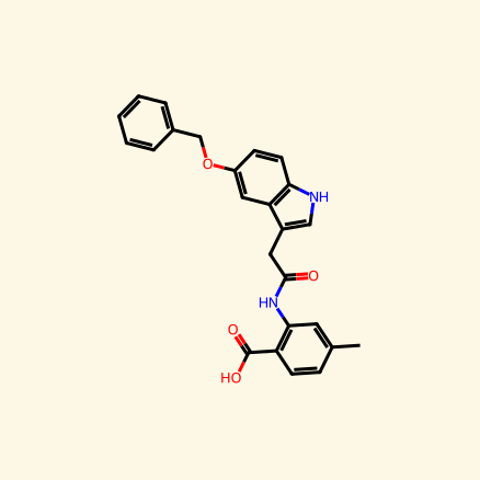 Cc1ccc(C(=O)O)c(NC(=O)Cc2c[nH]c3ccc(OCc4ccccc4)cc23)c1